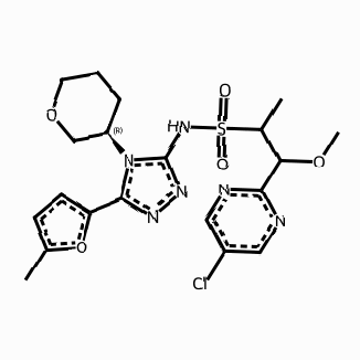 COC(c1ncc(Cl)cn1)C(C)S(=O)(=O)Nc1nnc(-c2ccc(C)o2)n1[C@@H]1CCCOC1